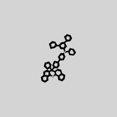 C1=CCCC(N(c2ccc(-c3ccc(C4(c5ccccc5)c5ccc6ccccc6c5OC5c6ccccc6C=CC54)cc3)cc2)c2cc(-c3ccccc3)cc(-c3ccccc3)c2)=C1